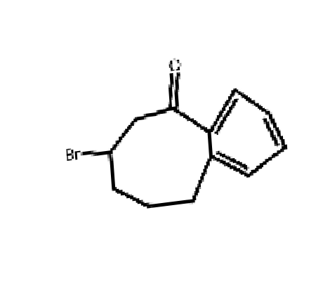 O=C1CC(Br)CCCc2ccccc21